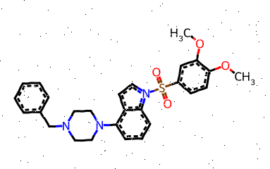 COc1ccc(S(=O)(=O)n2ccc3c(N4CCN(Cc5ccccc5)CC4)cccc32)cc1OC